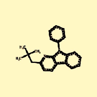 CC(C)(C)Cc1ccc2c3ccccc3n(-c3ccccc3)c2n1